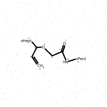 C=CC(CCCCCCC)OCC(=O)NCCCCC